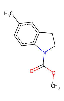 COC(=O)N1CCc2cc(C)ccc21